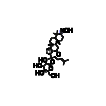 CC(C)=CCCC(C)(O[C@@H]1OC(CO)[C@@H](O)C(O)C1O)C1CC[C@]2(C)C1C(=O)CC1[C@@]3(C)CC/C(=N\O)C(C)(C)C3CC[C@]12C